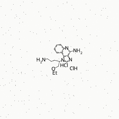 CCOCC(CCCN)n1cnc2c(N)nc3ccccc3c21.Cl.Cl